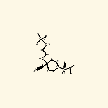 CN(C)S(=O)(=O)N1CCC(C#N)(OCCO[Si](C)(C)C)CC1